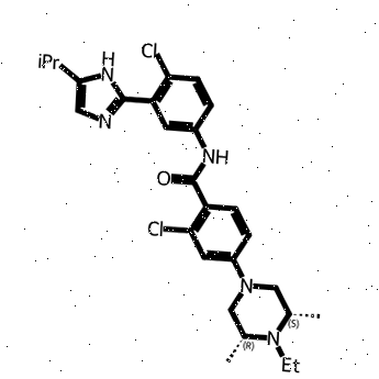 CCN1[C@H](C)CN(c2ccc(C(=O)Nc3ccc(Cl)c(-c4ncc(C(C)C)[nH]4)c3)c(Cl)c2)C[C@@H]1C